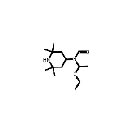 CCOC(C)N(C=O)C1CC(C)(C)NC(C)(C)C1